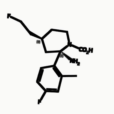 Cc1cc(F)ccc1[C@@]1(N)C[C@@H](CCF)CCN1C(=O)O